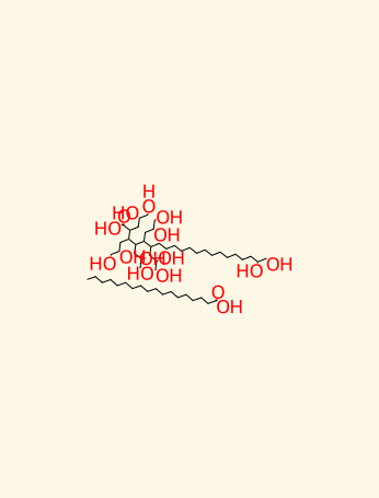 CCCCCCCCCCCCCCCCCC(=O)O.O=C(O)C(CC(O)CO)C(CC(O)CO)C(CC(O)CO)C(CC(O)CO)C(CCCCCCCCCCCCCC(O)CO)CC(O)CO